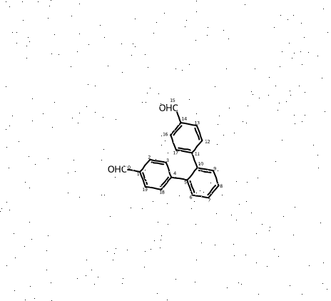 O=Cc1ccc(-c2ccccc2-c2ccc(C=O)cc2)cc1